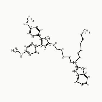 CCCCCCCN(CCCCCSc1nc(-c2ccc(OC)cc2)c(-c2ccc(OC)cc2)[nH]1)c1nc2ccccc2o1